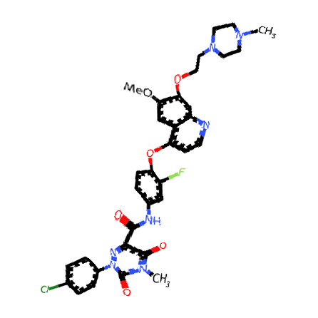 COc1cc2c(Oc3ccc(NC(=O)c4nn(-c5ccc(Cl)cc5)c(=O)n(C)c4=O)cc3F)ccnc2cc1OCCN1CCN(C)CC1